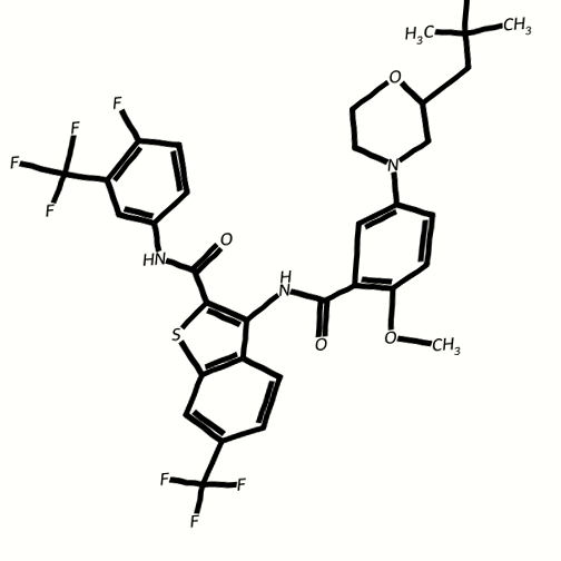 COc1ccc(N2CCOC(CC(C)(C)O)C2)cc1C(=O)Nc1c(C(=O)Nc2ccc(F)c(C(F)(F)F)c2)sc2cc(C(F)(F)F)ccc12